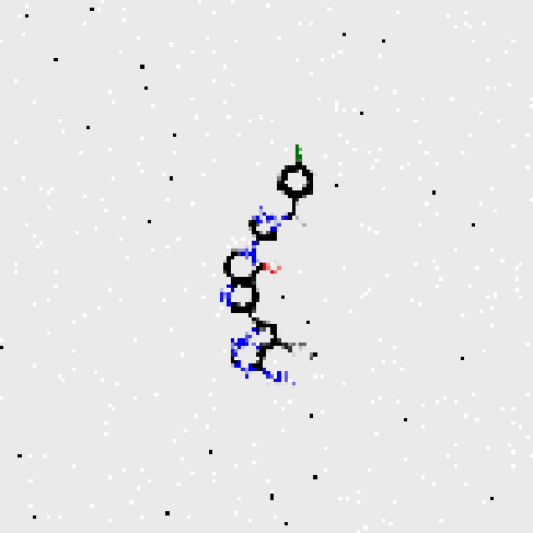 C[C@@H](c1ccc(F)cc1)n1cc(N2CCc3ncc(-c4cc(C(F)(F)F)c5c(N)ncnn45)cc3C2=O)cn1